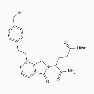 COC(=O)CCC(C(N)=O)N1Cc2c(CCc3ccc(CBr)cc3)cccc2C1=O